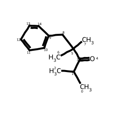 CC(C)C(=O)C(C)(C)Cc1ccccc1